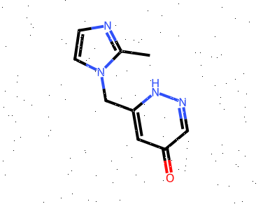 Cc1nccn1Cc1cc(=O)cn[nH]1